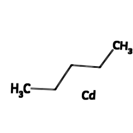 CCCCC.[Cd]